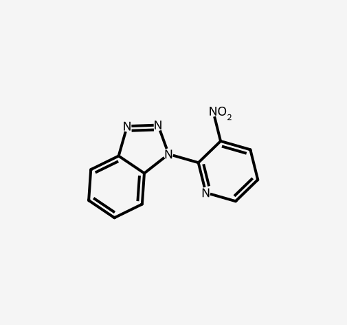 O=[N+]([O-])c1cccnc1-n1nnc2ccccc21